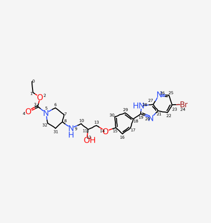 CCOC(=O)N1CCC(NCC(O)COc2ccc(-c3nc4cc(Br)cnc4[nH]3)cc2)CC1